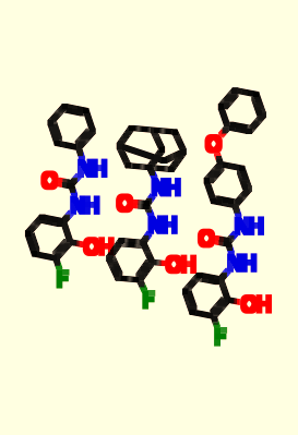 O=C(Nc1ccc(Oc2ccccc2)cc1)Nc1cccc(F)c1O.O=C(Nc1cccc(F)c1O)NC12CC3CC(CC(C3)C1)C2.O=C(Nc1ccccc1)Nc1cccc(F)c1O